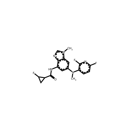 CN(c1cc(NC(=O)C2CC2F)c2ncn(C)c2c1)c1ccc(F)nc1F